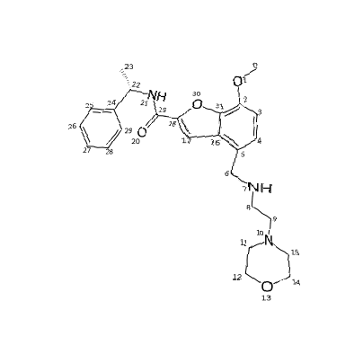 COc1ccc(CNCCN2CCOCC2)c2cc(C(=O)N[C@@H](C)c3ccccc3)oc12